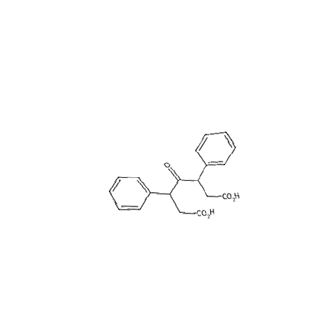 O=C(O)CC(C(=O)C(CC(=O)O)c1ccccc1)c1ccccc1